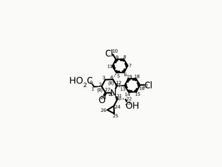 O=C(O)C[C@H]1C[C@H](c2cccc(Cl)c2)[C@@H](c2ccc(Cl)cc2)N([C@H](CO)C2CC2)C1=O